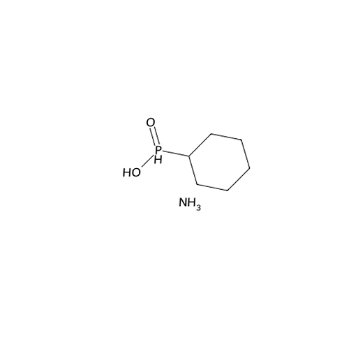 N.O=[PH](O)C1CCCCC1